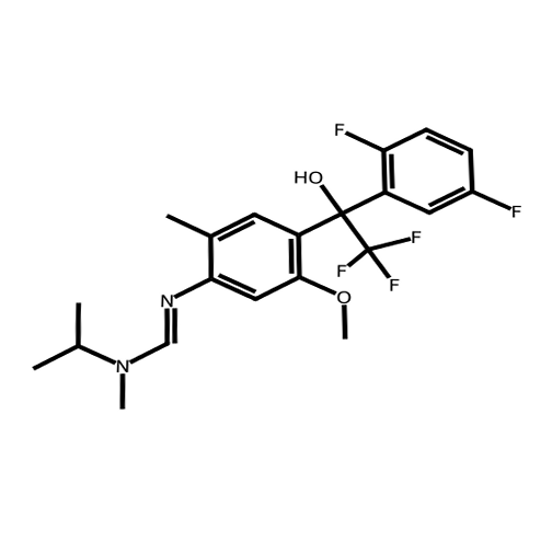 COc1cc(/N=C/N(C)C(C)C)c(C)cc1C(O)(c1cc(F)ccc1F)C(F)(F)F